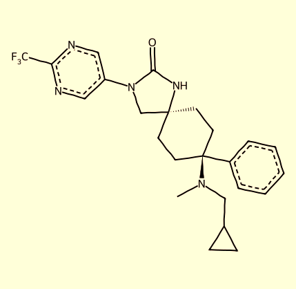 CN(CC1CC1)[C@]1(c2ccccc2)CC[C@]2(CC1)CN(c1cnc(C(F)(F)F)nc1)C(=O)N2